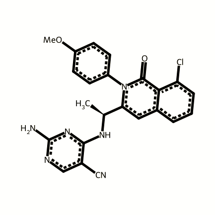 COc1ccc(-n2c([C@H](C)Nc3nc(N)ncc3C#N)cc3cccc(Cl)c3c2=O)cc1